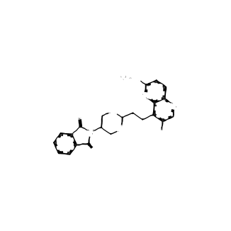 COc1ccc2ncc(F)c(CCC3OCC(N4C(=O)c5ccccc5C4=O)CO3)c2n1